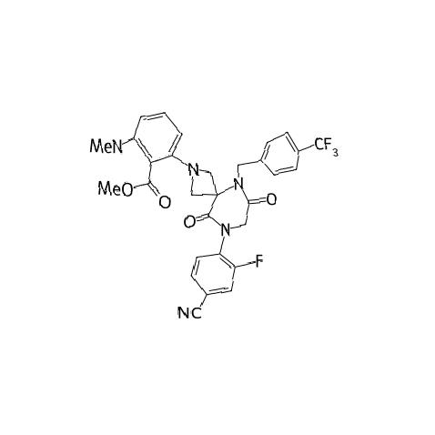 CNc1cccc(N2CC3(C2)C(=O)N(c2ccc(C#N)cc2F)CC(=O)N3Cc2ccc(C(F)(F)F)cc2)c1C(=O)OC